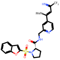 CN/C(=C\C(=N)C(F)(F)F)c1ccnc(CNC(=O)[C@@H]2CCCN2S(=O)(=O)c2cc3ccccc3o2)c1